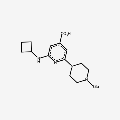 CC(C)(C)N1CCN(c2cc(C(=O)O)cc(NC3CCC3)n2)CC1